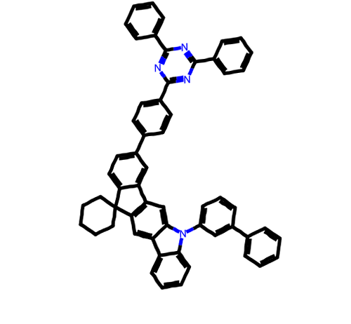 c1ccc(-c2cccc(-n3c4ccccc4c4cc5c(cc43)-c3cc(-c4ccc(-c6nc(-c7ccccc7)nc(-c7ccccc7)n6)cc4)ccc3C53CCCCC3)c2)cc1